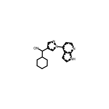 O=NC(c1cnn(-c2ccnc3[nH]ccc23)c1)C1CCCCC1